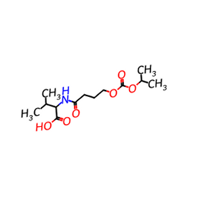 CC(C)OC(=O)OCCCC(=O)NC(C(=O)O)C(C)C